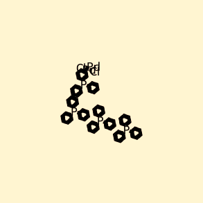 [Cl][Pd][Cl].[Pd].c1ccc(P(c2ccccc2)c2ccccc2)cc1.c1ccc(P(c2ccccc2)c2ccccc2)cc1.c1ccc(P(c2ccccc2)c2ccccc2)cc1.c1ccc(P(c2ccccc2)c2ccccc2)cc1